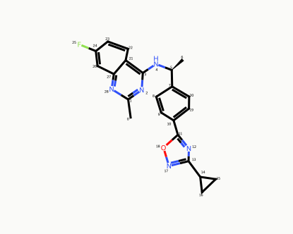 Cc1nc(N[C@@H](C)c2ccc(-c3nc(C4CC4)no3)cc2)c2ccc(F)cc2n1